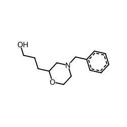 OCCCC1CN(Cc2ccccc2)CCO1